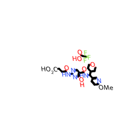 COc1ccc(C(NC(=O)c2cnc(NC(=O)CCC(=O)O)nc2O)C2CCOCC2)cn1.O=C(O)C(F)(F)F